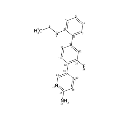 CCSc1ccccc1-c1ccc(-c2cnc(N)cn2)c(F)c1